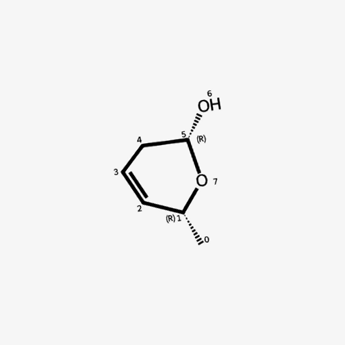 C[C@@H]1C=CC[C@H](O)O1